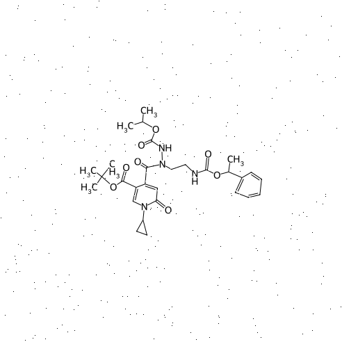 CC(C)OC(=O)NN(CCNC(=O)OC(C)c1ccccc1)C(=O)c1cc(=O)n(C2CC2)cc1C(=O)OC(C)(C)C